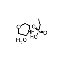 C1COCCN1.CCS(=O)(=O)O.O